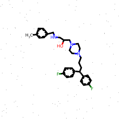 Cc1ccc(CNCC(O)CN2CCN(CCCC(c3ccc(F)cc3)c3ccc(F)cc3)CC2)cc1